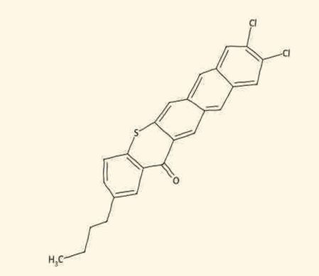 CCCCc1ccc2sc3cc4cc5cc(Cl)c(Cl)cc5cc4cc3c(=O)c2c1